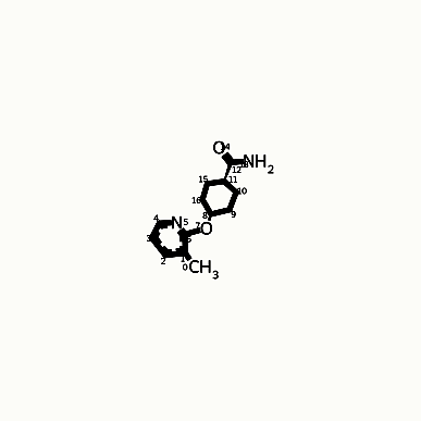 Cc1cccnc1O[C@H]1CC[C@H](C(N)=O)CC1